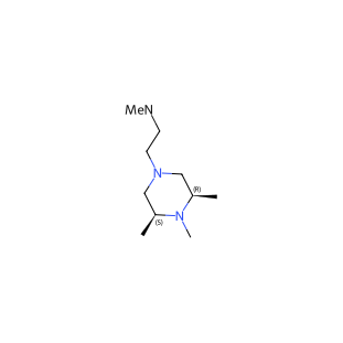 CNCCN1C[C@@H](C)N(C)[C@@H](C)C1